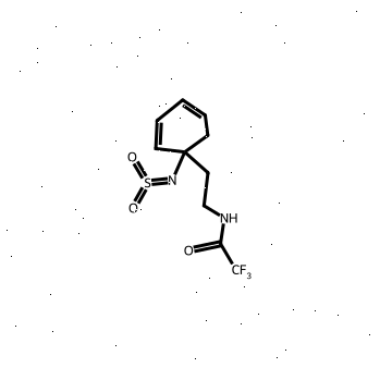 O=C(NCCC1(N=S(=O)=O)C=CC=CC1)C(F)(F)F